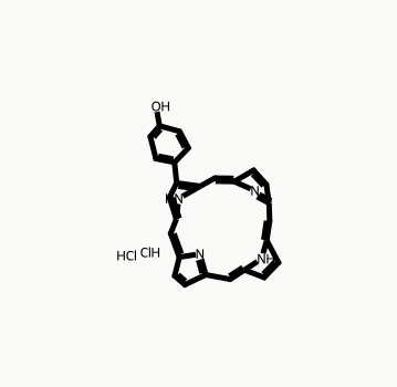 Cl.Cl.Oc1ccc(-c2cc3cc4nc(cc5ccc(cc6nc(cc2[nH]3)C=C6)[nH]5)C=C4)cc1